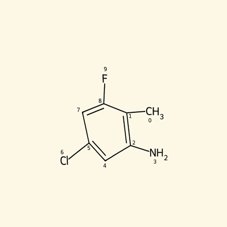 Cc1c(N)cc(Cl)cc1F